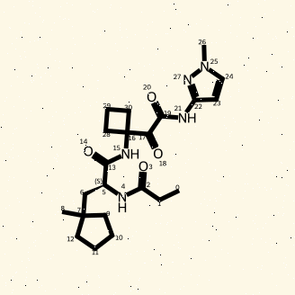 CCC(=O)N[C@@H](CC1(C)CCCC1)C(=O)NC1(C(=O)C(=O)Nc2ccn(C)n2)CCC1